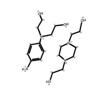 Nc1ccc(N(CCO)CCO)cc1.OCCN1CCN(CCO)CC1